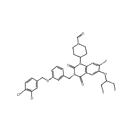 O=CN1CCC(n2c(=O)n(Cc3cccc(OCc4ccc(Cl)c(Cl)c4)c3)c(=O)c3cc(OC(CF)CF)c(F)cc32)CC1